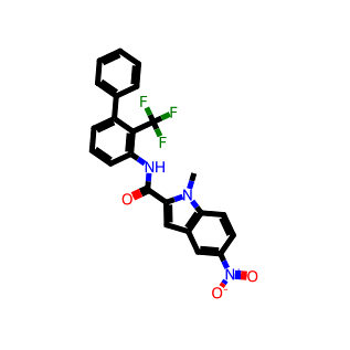 Cn1c(C(=O)Nc2cccc(-c3ccccc3)c2C(F)(F)F)cc2cc([N+](=O)[O-])ccc21